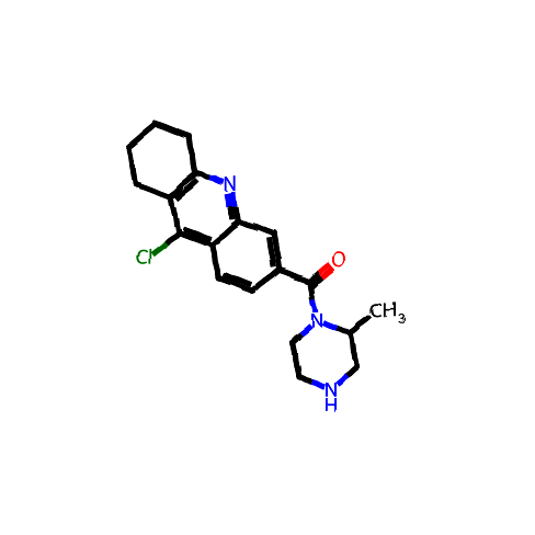 CC1CNCCN1C(=O)c1ccc2c(Cl)c3c(nc2c1)CCCC3